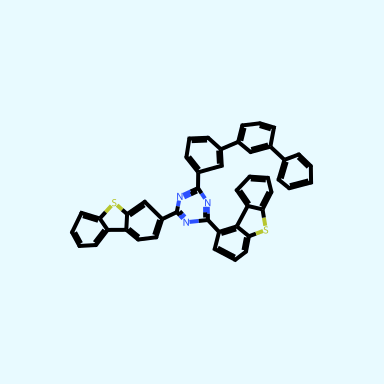 c1ccc(-c2cccc(-c3cccc(-c4nc(-c5ccc6c(c5)sc5ccccc56)nc(-c5cccc6sc7ccccc7c56)n4)c3)c2)cc1